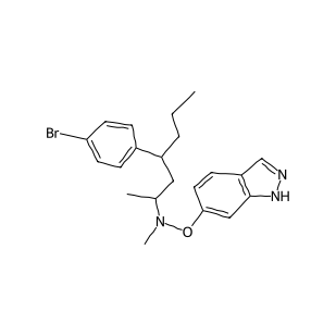 CCCC(CC(C)N(C)Oc1ccc2cn[nH]c2c1)c1ccc(Br)cc1